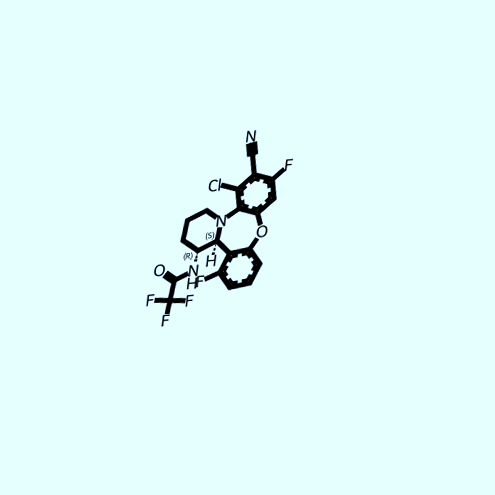 N#Cc1c(F)cc2c(c1Cl)N1CCC[C@@H](NC(=O)C(F)(F)F)[C@@H]1c1c(F)cccc1O2